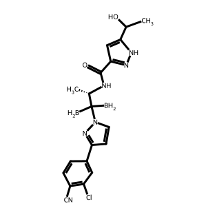 BC(B)([C@H](C)NC(=O)c1cc(C(C)O)[nH]n1)n1ccc(-c2ccc(C#N)c(Cl)c2)n1